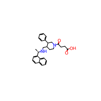 C[C@@H](NCC1CCN(C(=O)CCC(=O)O)CC1c1ccccc1)c1cccc2ccccc12